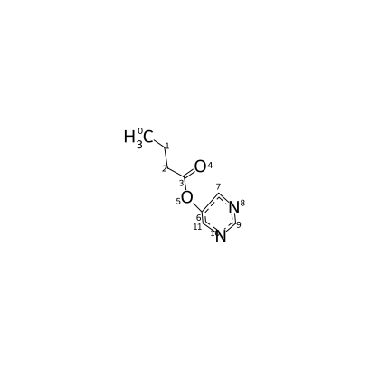 CCCC(=O)Oc1cncnc1